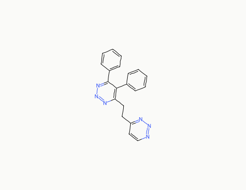 c1ccc(-c2nnnc(CCc3ccnnn3)c2-c2ccccc2)cc1